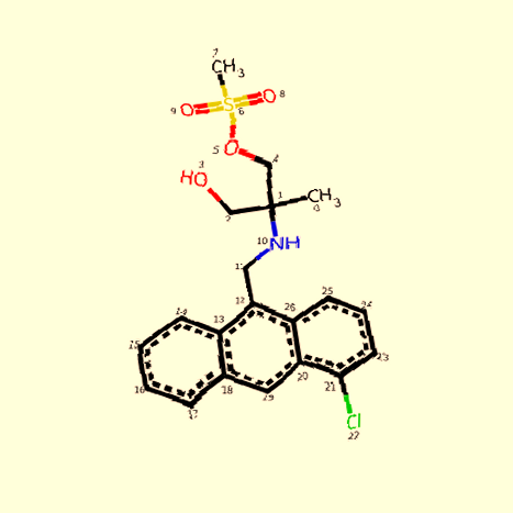 CC(CO)(COS(C)(=O)=O)NCc1c2ccccc2cc2c(Cl)cccc12